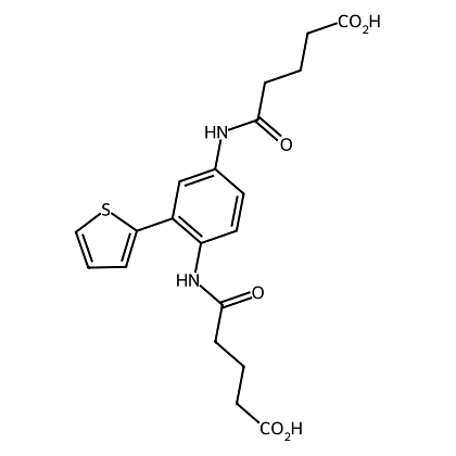 O=C(O)CCCC(=O)Nc1ccc(NC(=O)CCCC(=O)O)c(-c2cccs2)c1